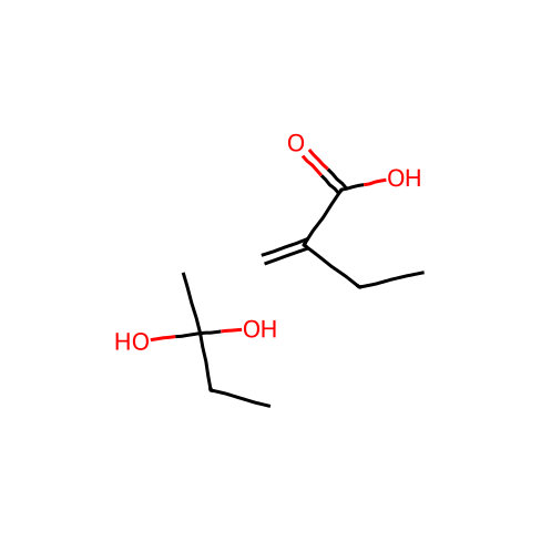 C=C(CC)C(=O)O.CCC(C)(O)O